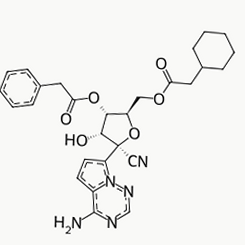 N#C[C@@]1(c2ccc3c(N)ncnn23)O[C@H](COC(=O)CC2CCCCC2)[C@@H](OC(=O)Cc2ccccc2)[C@H]1O